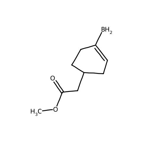 BC1=CCC(CC(=O)OC)CC1